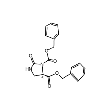 O=C(OCc1ccccc1)[C@H]1CNC(=O)N1C(=O)OCc1ccccc1